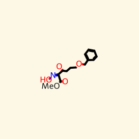 COC(=O)/C(=N\O)C(=O)CCCOCc1ccccc1